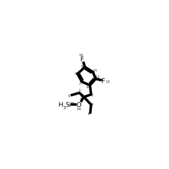 CCC(CC)(Cc1ccc(F)cc1F)O[SiH3]